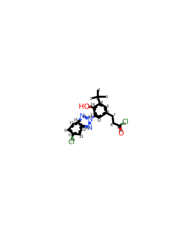 CC(C)(C)c1cc(CCC(=O)Cl)cc(-n2nc3ccc(Cl)cc3n2)c1O